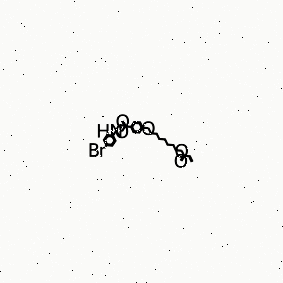 C=CC(=O)OCCCCCCCOc1ccc(C(=O)ONc2ccc(Br)cc2)cc1